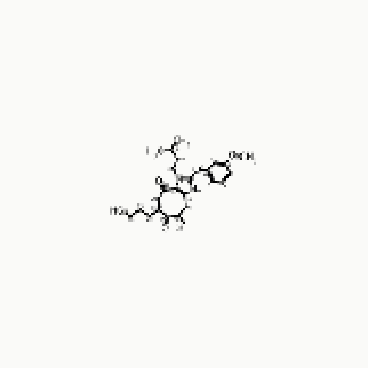 COc1cccc(Oc2nc3c(n2CCC(C)C)C(=O)/C=C(/CCCO)C(=O)C(I)C3)c1